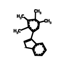 Cc1cc(C2=C[CH]c3ccccc32)c(C)c(C)c1C